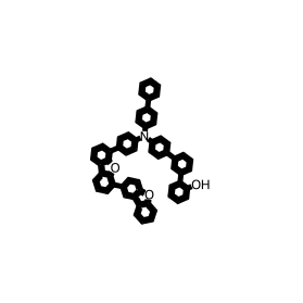 Oc1ccccc1-c1cccc(-c2ccc(N(c3ccc(-c4ccccc4)cc3)c3ccc(-c4cccc5c4oc4c(-c6ccc7oc8ccccc8c7c6)cccc45)cc3)cc2)c1